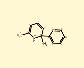 CC1=CC=CC(N)(c2ccccn2)N1